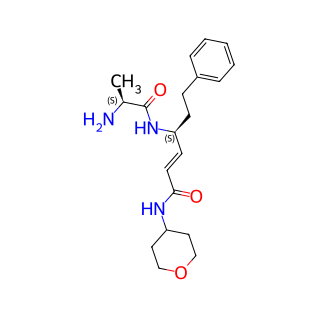 C[C@H](N)C(=O)N[C@H](C=CC(=O)NC1CCOCC1)CCc1ccccc1